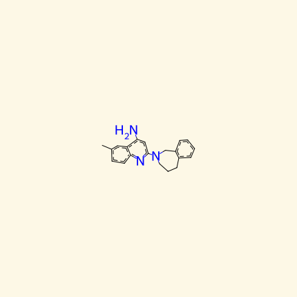 Cc1ccc2nc(N3CCCc4ccccc4C3)cc(N)c2c1